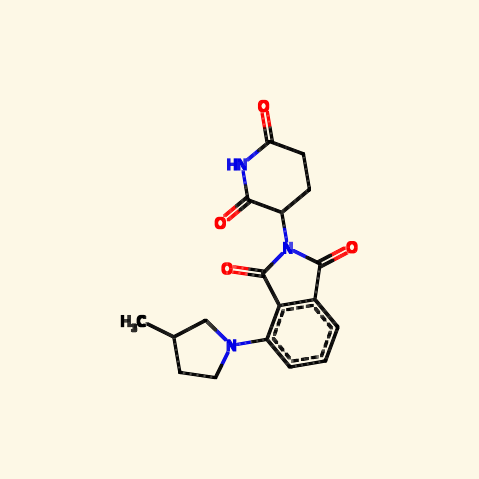 CC1CCN(c2cccc3c2C(=O)N(C2CCC(=O)NC2=O)C3=O)C1